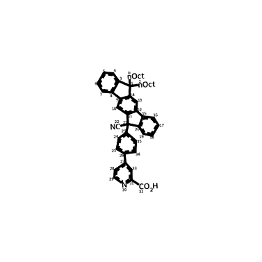 CCCCCCCCC1(CCCCCCCC)c2ccccc2-c2cc3c(cc21)-c1ccccc1C3(C#N)c1ccc(-c2ccnc(C(=O)O)c2)cc1